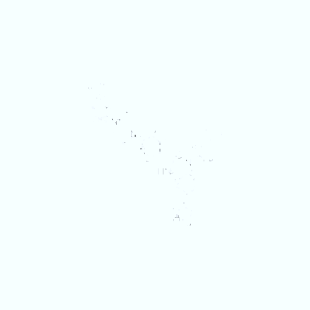 CC(C)(C)OC(=O)Nc1ccc(-c2ccoc2)cc1NC(=O)c1ccc(N2CCN(C(=O)OC(C)(C)C)CC2)nc1